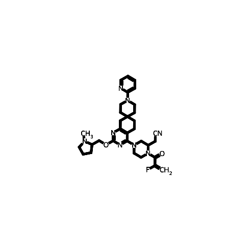 C=C(F)C(=O)N1CCN(c2nc(OCC3CCCN3C)nc3c2CCC2(CCN(c4ccccn4)CC2)C3)CC1CC#N